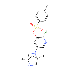 Cc1ccc(S(=O)(=O)Oc2cc(N3C[C@H]4C[C@@H]3CN4)cnc2Cl)cc1